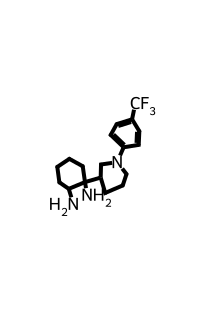 NC1CCCCC1(N)C1CCCN(c2ccc(C(F)(F)F)cc2)C1